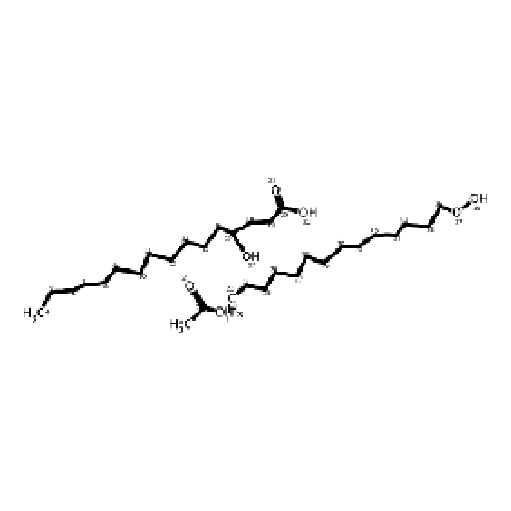 CC(=O)O.CCCCCCCCCCCCC(O)CCC(=O)O.CCCCCCCCCCCCCCOO